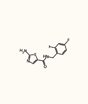 Nc1ncc(C(=O)NCc2ccc(F)cc2I)s1